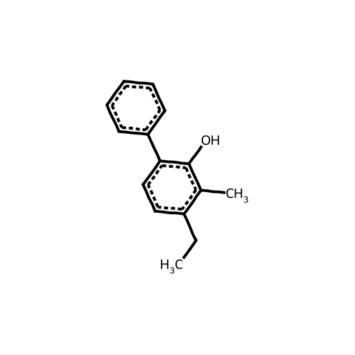 CCc1ccc(-c2ccccc2)c(O)c1C